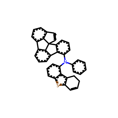 C1=Cc2sc3cccc(N(c4ccccc4)c4cccc5c4-c4cccc6c4C54c5ccccc5-c5cccc-6c54)c3c2CC1